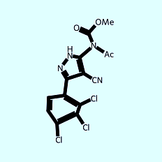 COC(=O)N(C(C)=O)c1[nH]nc(-c2ccc(Cl)c(Cl)c2Cl)c1C#N